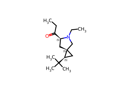 CCC(=O)[C@@H]1C[C@]2(C[C@H]2C(C)(C)C)CN1CC